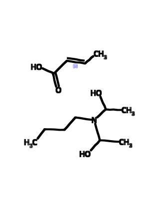 C/C=C/C(=O)O.CCCCN(C(C)O)C(C)O